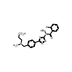 CCCCN(C(=O)c1ccccc1F)c1nnc(-c2ccc(CN(C)CCC(=O)O)cc2)s1